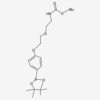 CC(C)(C)OC(=O)NCCOCCOc1ccc(B2OC(C)(C)C(C)(C)O2)cc1